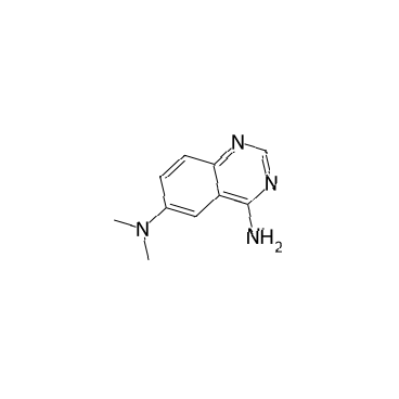 CN(C)c1ccc2ncnc(N)c2c1